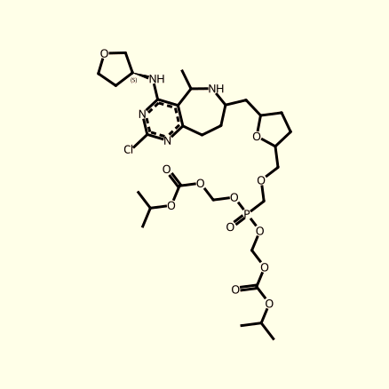 CC(C)OC(=O)OCOP(=O)(COCC1CCC(CC2CCc3nc(Cl)nc(N[C@H]4CCOC4)c3C(C)N2)O1)OCOC(=O)OC(C)C